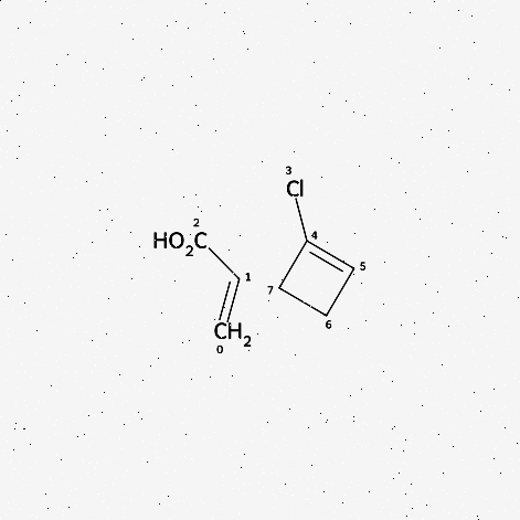 C=CC(=O)O.ClC1=CCC1